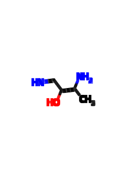 C/C(N)=C(\O)C=N